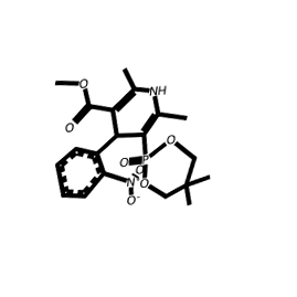 COC(=O)C1=C(C)NC(C)=C(P2(=O)OCC(C)(C)CO2)C1c1ccccc1[N+](=O)[O-]